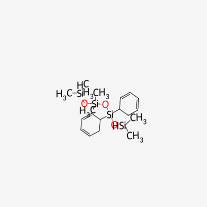 C[SiH](C)O[Si](C)(C)O[Si](O[SiH](C)C)(C1C=CC=CC1)C1C=CC=CC1